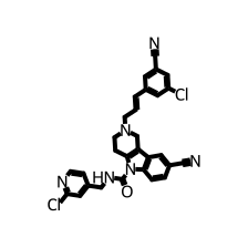 N#Cc1cc(Cl)cc(/C=C/CN2CCc3c(c4cc(C#N)ccc4n3C(=O)NCc3ccnc(Cl)c3)C2)c1